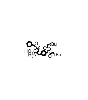 C[C@@H](CC(N)(Cc1ccc(OC(=O)CC(C)(C)C)c(OC(=O)CC(C)(C)C)c1)C(=O)O)OC(=O)C1CCCCC1